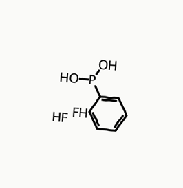 F.F.OP(O)c1ccccc1